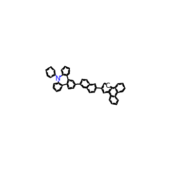 c1ccc(N2c3ccccc3-c3ccc(-c4ccc5cc(-c6ccc7c8ccccc8c8ccccc8c7c6)ccc5c4)cc3-c3ccccc32)cc1